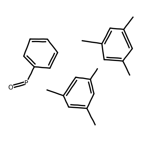 Cc1cc(C)cc(C)c1.Cc1cc(C)cc(C)c1.O=Pc1ccccc1